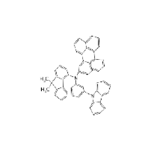 CC1(C)c2ccccc2-c2c(N(c3cccc(-c4cccc5cccc(-c6ccccc6)c45)c3)c3cccc(-n4c5ccccc5c5ccccc54)c3)cccc21